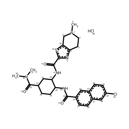 CN1CCc2nc(C(=O)NC3CC(C(=O)N(C)C)CCC3NC(=O)c3ccc4cc(Cl)ccc4c3)sc2C1.Cl